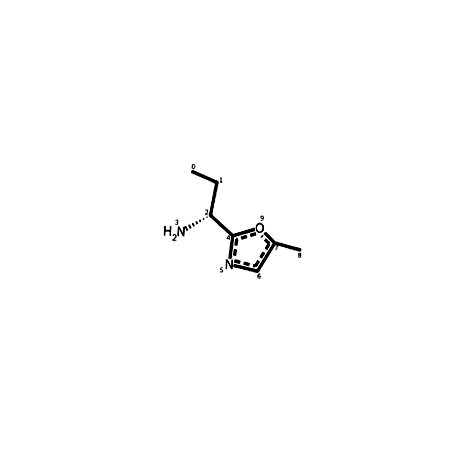 CC[C@@H](N)c1ncc(C)o1